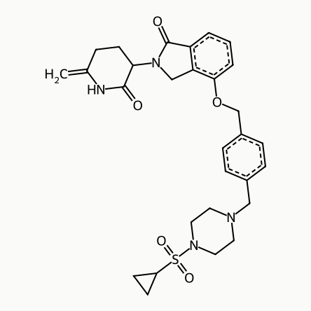 C=C1CCC(N2Cc3c(OCc4ccc(CN5CCN(S(=O)(=O)C6CC6)CC5)cc4)cccc3C2=O)C(=O)N1